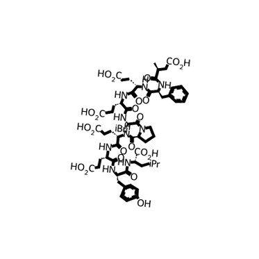 CC[C@H](C)[C@H](NC(=O)[C@H](CCC(=O)O)NC(=O)[C@H](CCC(=O)O)NC(=O)[C@H](Cc1ccccc1)NC(=O)[C@@H](C)CC(=O)O)C(=O)N1CCC[C@H]1C(=O)N[C@@H](CCC(=O)O)C(=O)N[C@@H](CCC(=O)O)C(=O)N[C@@H](Cc1ccc(O)cc1)C(=O)N[C@@H](CC(C)C)C(=O)O